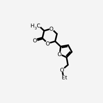 CCOCc1ccc(C2COC(C)C(=O)O2)o1